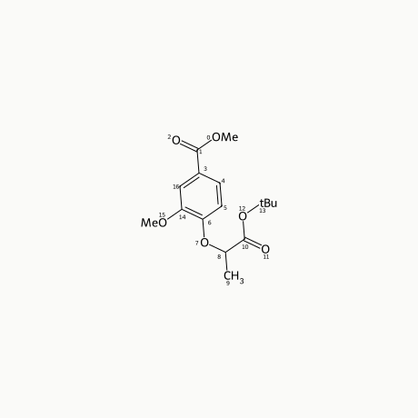 COC(=O)c1ccc(OC(C)C(=O)OC(C)(C)C)c(OC)c1